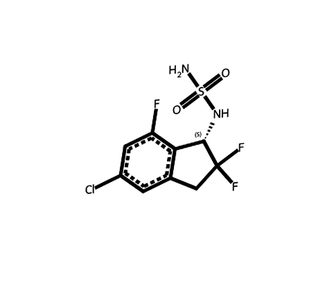 NS(=O)(=O)N[C@H]1c2c(F)cc(Cl)cc2CC1(F)F